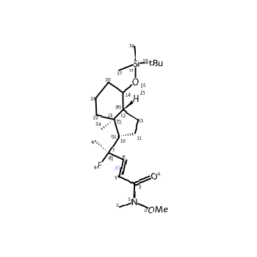 CON(C)C(=O)/C=C/[C@@](C)(F)[C@H]1CC[C@H]2C(O[Si](C)(C)C(C)(C)C)CCC[C@@]21C